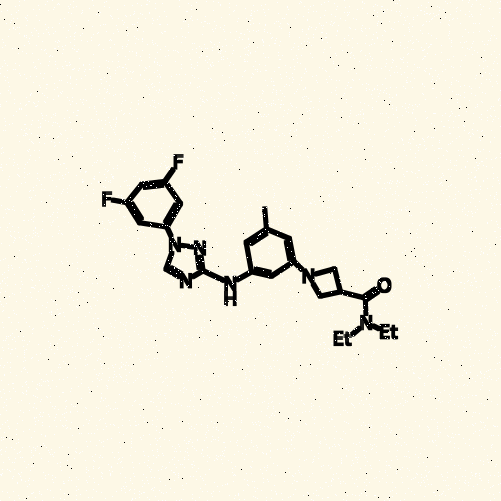 CCN(CC)C(=O)C1CN(c2cc(C)cc(Nc3ncn(-c4cc(F)cc(F)c4)n3)c2)C1